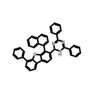 c1ccc(C2=NC(c3ccc4c(oc5c(-c6ccccc6)cccc54)c3-c3cccc4ccccc34)NC(c3ccccc3)=N2)cc1